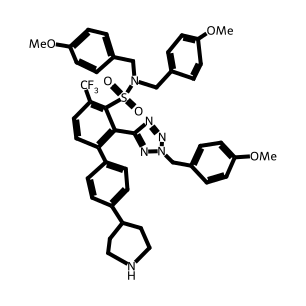 COc1ccc(CN(Cc2ccc(OC)cc2)S(=O)(=O)c2c(C(F)(F)F)ccc(-c3ccc(C4CCNCC4)cc3)c2-c2nnn(Cc3ccc(OC)cc3)n2)cc1